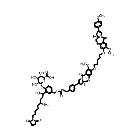 COc1ccc(C2=CN3C(=O)c4cc(OC)c(OCCCCCOc5cc6c(cc5OC)C(=O)N5C=C(c7ccc(CNC(=O)OCc8ccc(O[C@@H]9O[C@H](C(=O)O)[C@@H](O)[C@H](O)[C@H]9O)c(C(N)CCC(N)CCCCCN9C(=O)C=CC9=O)c8)cc7)C[C@H]5C=N6)cc4N=C[C@@H]3C2)cc1